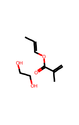 C=C(C)C(=O)O/C=C/C.OCCO